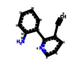 C#Cc1cccnc1-c1ccccc1N